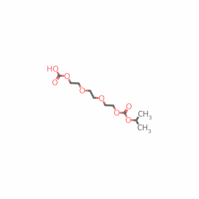 CC(C)OC(=O)OCCOCCOCCOC(=O)O